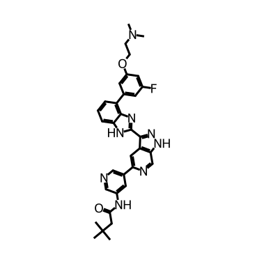 CN(C)CCOc1cc(F)cc(-c2cccc3[nH]c(-c4n[nH]c5cnc(-c6cncc(NC(=O)CC(C)(C)C)c6)cc45)nc23)c1